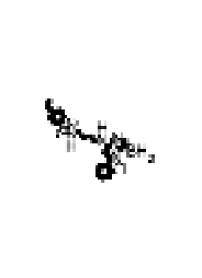 Bc1cnn2c(NCCCCNS(=O)(=O)c3ccc(CC)cc3)cc(-c3ccccc3Cl)nc12